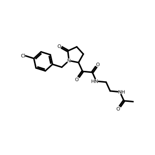 CC(=O)NCCNC(=O)C(=O)C1CCC(=O)N1Cc1ccc(Cl)cc1